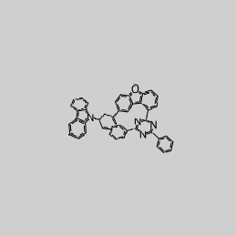 C1=CC(n2c3ccccc3c3ccccc32)CC(c2ccc3oc4cccc(-c5nc(-c6ccccc6)nc(-c6ccccc6)n5)c4c3c2)=C1